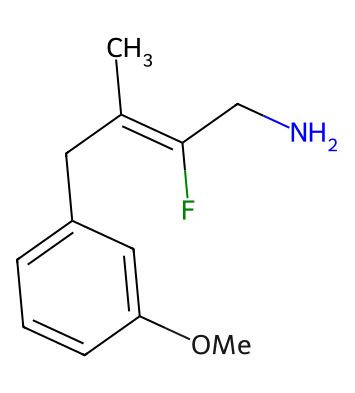 COc1cccc(CC(C)=C(F)CN)c1